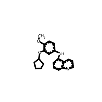 COc1ccc(Nc2cccc3ncccc23)cc1OC1CCCC1